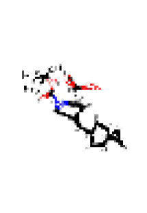 CC(C)(C)OC(=O)N1C/C(=C/C2=CCC3(CC2)CC3)C[C@H]1C(=O)O